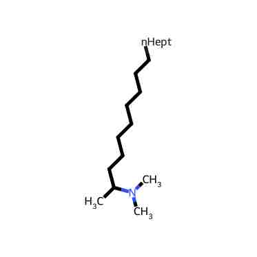 CCCCCCCCCCCCCCCC(C)N(C)C